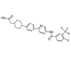 O=C(O)CC1CCC(c2ccc(-c3ccc(NC(=O)c4ccc(F)c(C(F)(F)F)c4)cn3)cc2)CC1